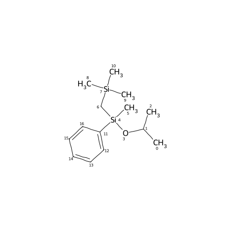 CC(C)O[Si](C)(C[Si](C)(C)C)c1ccccc1